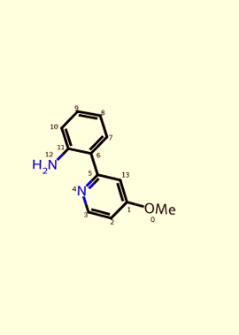 COc1ccnc(-c2ccccc2N)c1